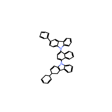 C1=CCC(C2C=Cc3c(c4ccccc4n3-c3ccc(-n4c5ccccc5c5cc(-c6ccccc6)ccc54)c4ccccc34)C2)C=C1